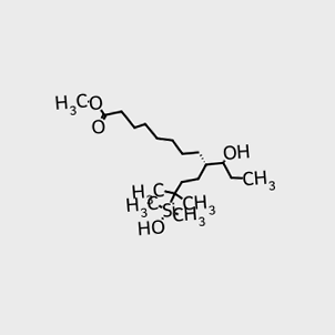 CC[C@@H](O)[C@@H](CCCCCCCC(=O)OC)CCC(C)(C)[Si](C)(C)O